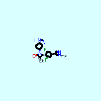 CC[C@H]1C(=O)N(c2ccc3[nH]cnc3c2)[C@H]1c1c(F)cc(-c2cnn(C(F)(F)F)c2)cc1F